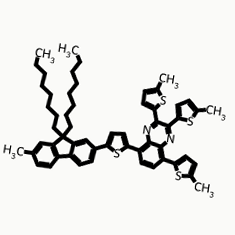 CCCCCCCCC1(CCCCCCCC)c2cc(C)ccc2-c2ccc(-c3ccc(-c4ccc(-c5ccc(C)s5)c5nc(-c6ccc(C)s6)c(-c6ccc(C)s6)nc45)s3)cc21